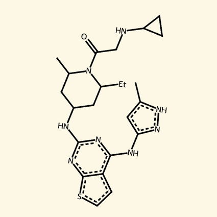 CCC1CC(Nc2nc(Nc3cc(C)[nH]n3)c3ccsc3n2)CC(C)N1C(=O)CNC1CC1